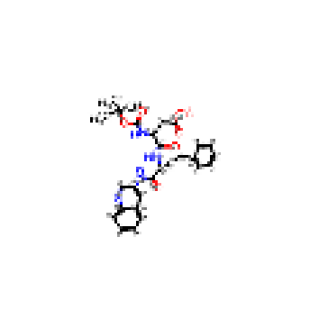 CC(C)(C)OC(=O)N[C@@H](CC(=O)O)C(=O)N[C@H](CCc1ccccc1)C(=O)Nc1cnc2ccccc2c1